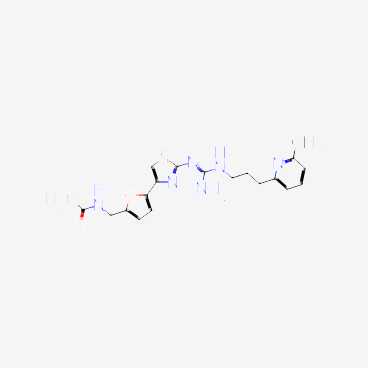 CC(=O)NCc1ccc(-c2csc(/N=C(\N)NCCCc3cccc(C)n3)n2)o1